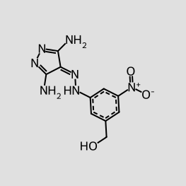 NC1=NN=C(N)C1=NNc1cc(CO)cc([N+](=O)[O-])c1